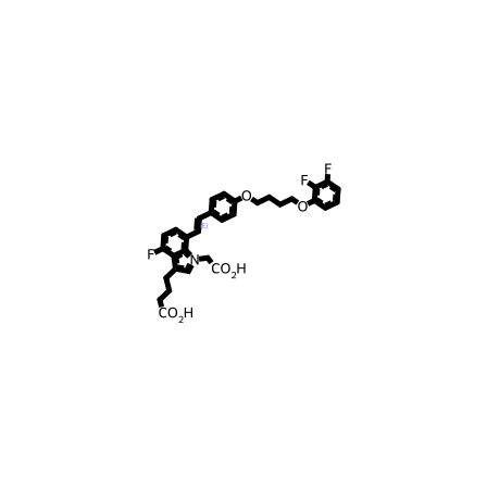 O=C(O)CCCc1cn(CC(=O)O)c2c(/C=C/c3ccc(OCCCCOc4cccc(F)c4F)cc3)ccc(F)c12